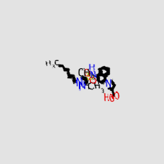 CCCCCCCCn1nc(C)c(S(=O)(=O)Nc2ccc(N3CCC(C(=O)O)C3)c3ccccc23)c1C